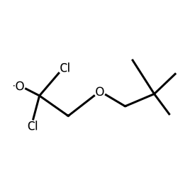 CC(C)(C)COCC([O])(Cl)Cl